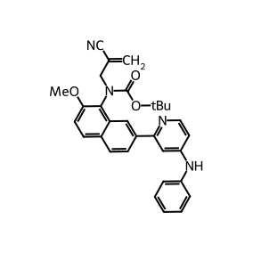 C=C(C#N)CN(C(=O)OC(C)(C)C)c1c(OC)ccc2ccc(-c3cc(Nc4ccccc4)ccn3)cc12